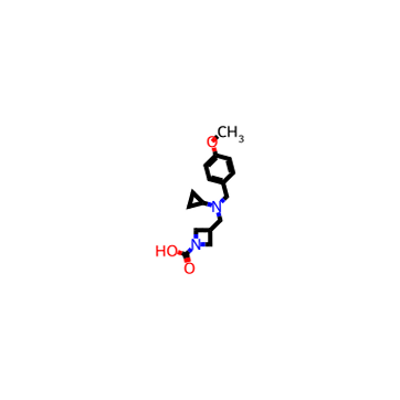 COc1ccc(CN(CC2CN(C(=O)O)C2)C2CC2)cc1